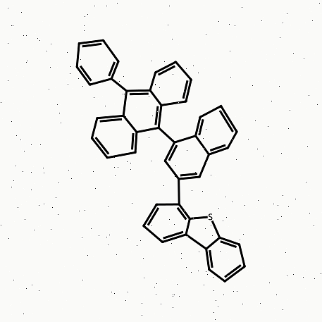 c1ccc(-c2c3ccccc3c(-c3cc(-c4cccc5c4sc4ccccc45)cc4ccccc34)c3ccccc23)cc1